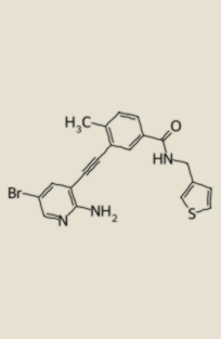 Cc1ccc(C(=O)NCc2ccsc2)cc1C#Cc1cc(Br)cnc1N